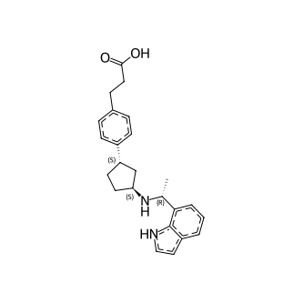 C[C@@H](N[C@H]1CC[C@H](c2ccc(CCC(=O)O)cc2)C1)c1cccc2cc[nH]c12